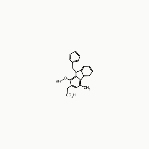 CCCOc1c(CC(=O)O)cc(C)c2c3ccccc3n(Cc3ccccc3)c12